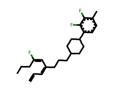 C=C/C=C(\C=C(\F)CCC)CCCC1CCC(c2ccc(C)c(F)c2F)CC1